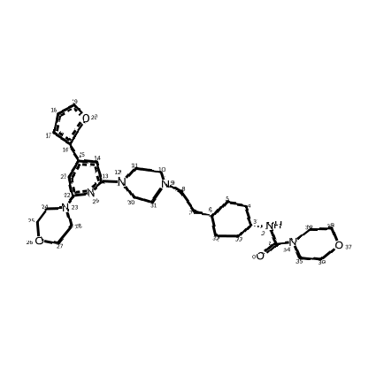 O=C(N[C@H]1CC[C@H](CCN2CCN(c3cc(-c4ccco4)cc(N4CCOCC4)n3)CC2)CC1)N1CCOCC1